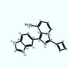 Nc1cccn2c(C3=CC=C3)nc(-c3ccc4ocnc4c3)c12